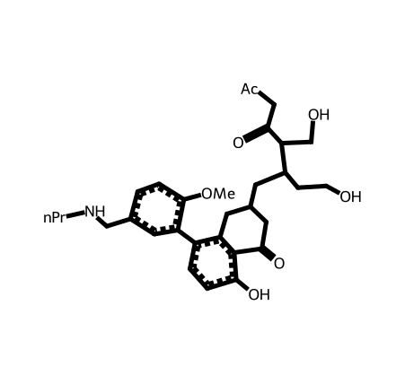 CCCNCc1ccc(OC)c(-c2ccc(O)c3c2CC(CC(CCO)C(CO)C(=O)CC(C)=O)CC3=O)c1